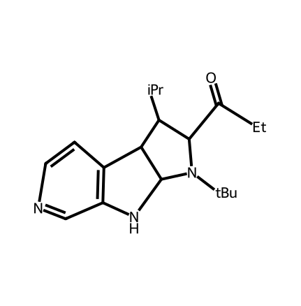 CCC(=O)C1C(C(C)C)C2c3ccncc3NC2N1C(C)(C)C